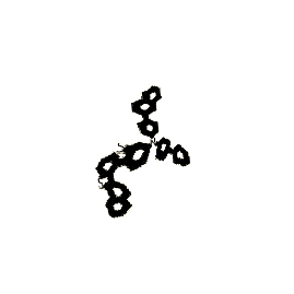 c1ccc(-c2ccc(N(c3ccc(-c4ccc5ccccc5c4)cc3)c3ccc4c(c3)sc3ccc5sc6c7ccccc7ccc6c5c34)cc2)cc1